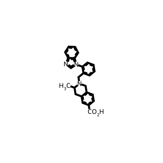 CC1Cc2cc(C(=O)O)ccc2CN1Cc1ccccc1-n1cnc2ccccc21